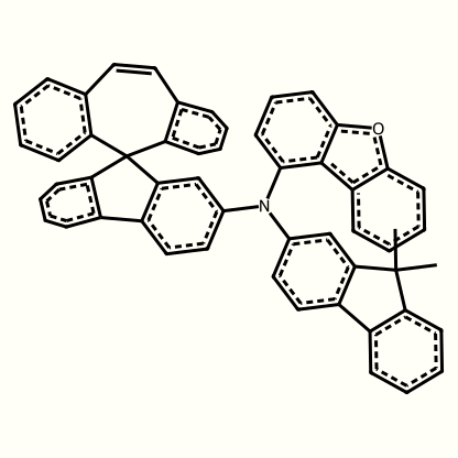 CC1(C)c2ccccc2-c2ccc(N(c3ccc4c(c3)C3(c5ccccc5C=Cc5ccccc53)c3ccccc3-4)c3cccc4oc5ccccc5c34)cc21